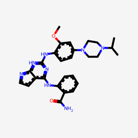 COc1cc(N2CCN(C(C)C)CC2)ccc1Nc1nc(Nc2ccccc2C(N)=O)c2ccnc-2[nH]1